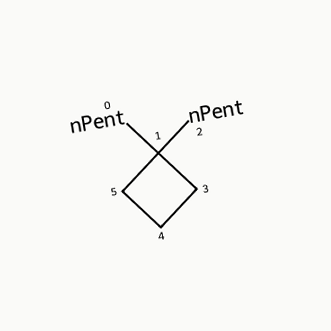 CCCCCC1(CCCCC)CCC1